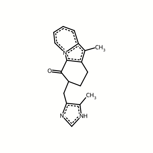 Cc1[nH]cnc1CC1CCc2c(C)c3ccccn3c2C1=O